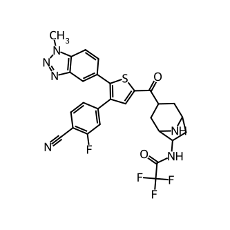 Cn1nnc2cc(-c3sc(C(=O)C4CC5CC(NC(=O)C(F)(F)F)C(C4)N5)cc3-c3ccc(C#N)c(F)c3)ccc21